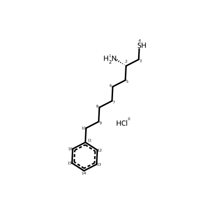 Cl.N[C@H](CS)CCCCCCc1ccccc1